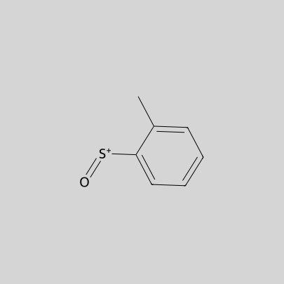 Cc1ccccc1[S+]=O